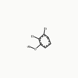 CCc1cccc([O][Al])c1CC